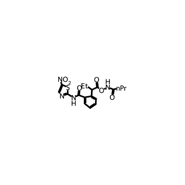 CCCC(=O)NOC(=O)C(CC)c1ccccc1C(=O)Nc1ncc([N+](=O)[O-])s1